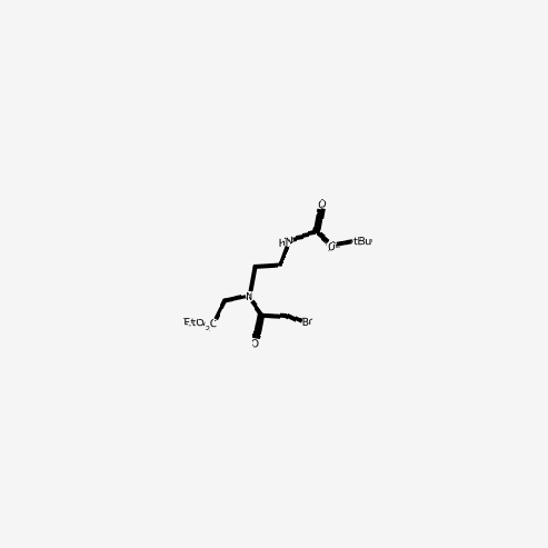 CCOC(=O)CN(CCNC(=O)OC(C)(C)C)C(=O)CBr